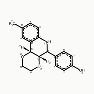 Oc1ccc(C2Nc3ccc(C(F)(F)F)cc3[C@H]3OCCO[C@@H]23)cc1